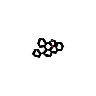 c1ccc(-c2ccc3cc4ccccc4cc3c2-c2ccccc2-c2ncco2)cc1